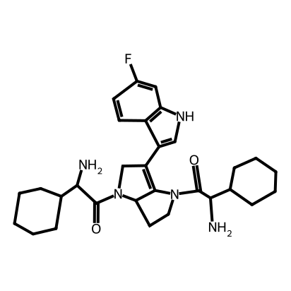 NC(C(=O)N1CCC2C1=C(c1c[nH]c3cc(F)ccc13)CN2C(=O)C(N)C1CCCCC1)C1CCCCC1